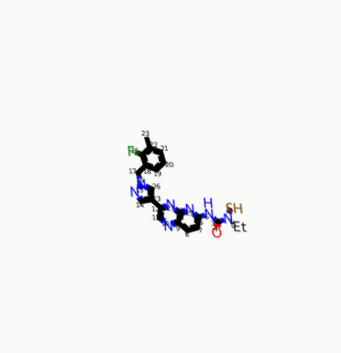 CCN(S)C(=O)Nc1ccc2ncc(-c3cnn(Cc4cccc(C)c4F)c3)nc2n1